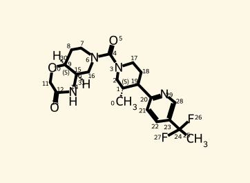 C[C@@H]1CN(C(=O)N2CC[C@@H]3OCC(=O)N[C@@H]3C2)CCC1c1ccc(C(C)(F)F)cn1